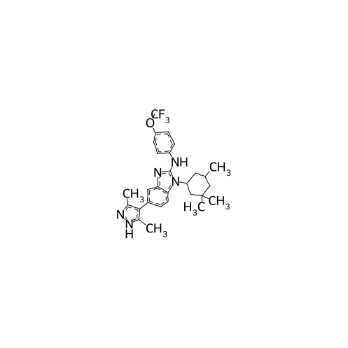 Cc1n[nH]c(C)c1-c1ccc2c(c1)nc(Nc1ccc(OC(F)(F)F)cc1)n2C1CC(C)CC(C)(C)C1